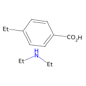 CCNCC.CCc1ccc(C(=O)O)cc1